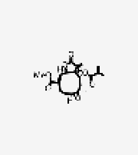 C=C(C)C(=O)O[C@@H]1C[C@@]2(C)O[C@@H]2CC/C(C(=O)OC)=C\[C@H]2OC(=O)C(=C)[C@@H]21